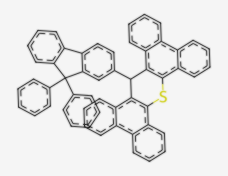 c1ccc(C2(c3ccccc3)c3ccccc3-c3ccc(C4c5c(c6ccccc6c6ccccc56)Sc5c4c4ccccc4c4ccccc54)cc32)cc1